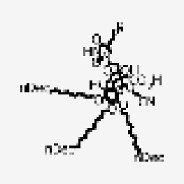 CCCCCCCCCCCCCCCCCCOc1cc(CC(CC(=O)O)(C(=O)OCCC#N)[C@]2(O)C[C@H](n3cc(C#P=S)c(=O)[nH]c3=O)O[C@@H]2CO)cc(OCCCCCCCCCCCCCCCCCC)c1OCCCCCCCCCCCCCCCCCC